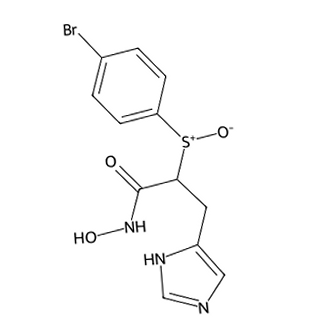 O=C(NO)C(Cc1cnc[nH]1)[S+]([O-])c1ccc(Br)cc1